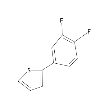 Fc1ccc(-c2cccs2)cc1F